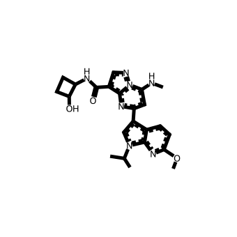 CNc1cc(-c2cn(C(C)C)c3nc(OC)ccc23)nc2c(C(=O)NC3CCC3O)cnn12